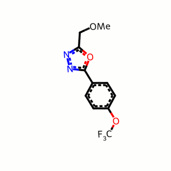 COCc1nnc(-c2ccc(OC(F)(F)F)cc2)o1